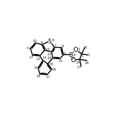 CC1(C)OB(c2cc3sc4cccc5c6ccccc6c(c2)c3c45)OC1(C)C